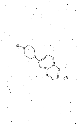 N#Cc1cnc2cc(N3CCN(O)CC3)ccc2c1